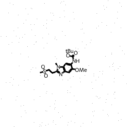 COc1cc2nc(CCS(C)(=O)=O)n(C)c2cc1NC(=O)OC(C)(C)C